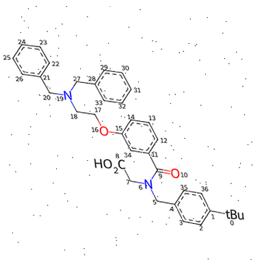 CC(C)(C)c1ccc(CN(CC(=O)O)C(=O)c2cccc(OCCN(Cc3ccccc3)Cc3ccccc3)c2)cc1